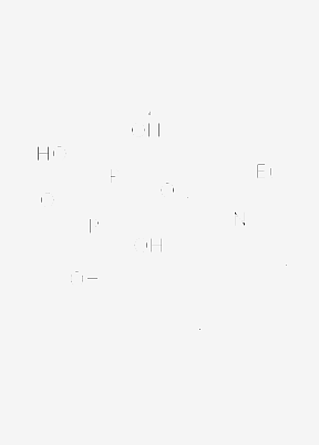 CCN1CCCCC1.O=P(O)(O)P(=O)(O)O